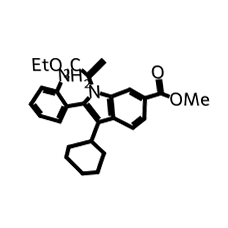 C=C(C(=O)OCC)n1c(-c2ccccc2N)c(C2CCCCC2)c2ccc(C(=O)OC)cc21